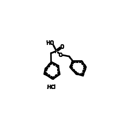 Cl.O=P(O)(Cc1ccccc1)OCc1ccccc1